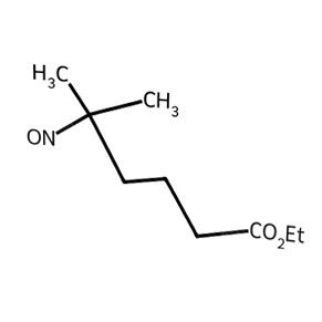 CCOC(=O)CCCC(C)(C)N=O